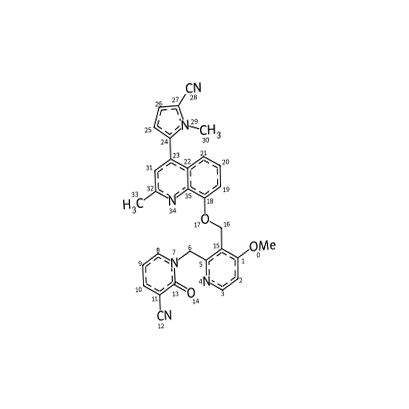 COc1ccnc(Cn2cccc(C#N)c2=O)c1COc1cccc2c(-c3ccc(C#N)n3C)cc(C)nc12